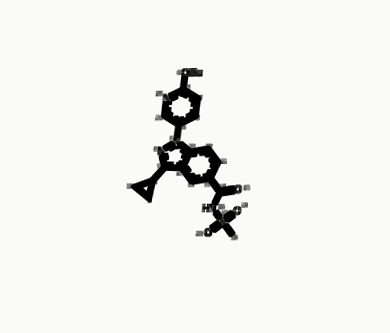 CC(C)COc1ccc(-n2nc(C3CC3)c3cc(C(=O)NS(C)(=O)=O)ccc32)cn1